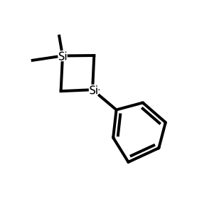 C[Si]1(C)C[Si](c2ccccc2)C1